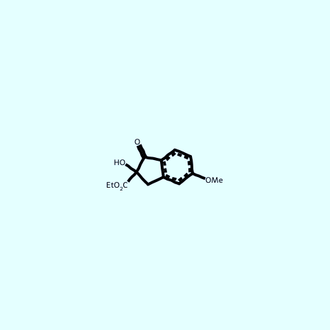 CCOC(=O)C1(O)Cc2cc(OC)ccc2C1=O